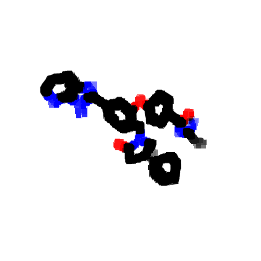 CC(C)c1noc(-c2ccc(Oc3cc(-c4nc5cccnc5[nH]4)ccc3CN3C[C@H](c4ccccc4)CC3=O)cc2)n1